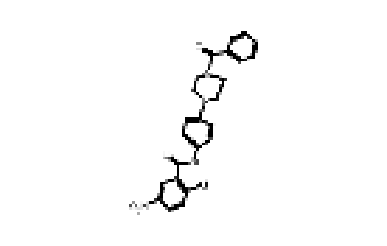 O=C(Nc1ccc(N2CCN(C(=O)c3ccccc3)CC2)cc1)c1cc([N+](=O)[O-])ccc1Cl